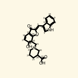 O=C1C(=Cc2c[nH]c3ccccc23)Oc2c1ccc(O)c2CN1CCCC(C(=O)O)C1